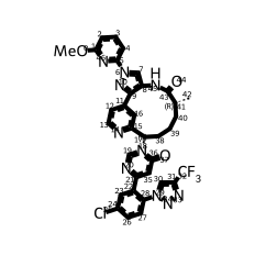 COc1cccc(-n2cc3c(n2)-c2ccnc(c2)[C@@H](n2cnc(-c4cc(Cl)ccc4-n4cc(C(F)(F)F)nn4)cc2=O)CCC[C@@H](C)C(=O)N3)n1